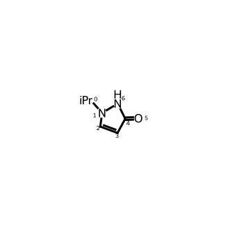 CC(C)n1ccc(=O)[nH]1